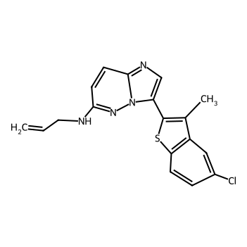 C=CCNc1ccc2ncc(-c3sc4ccc(Cl)cc4c3C)n2n1